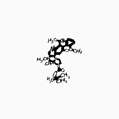 COc1cccc(F)c1-c1c(Cl)cc2c3c(cnc2c1C(C)C)N(C)C(=O)[C@H]1CN(C(=O)OC(C)(C)C)CCN31